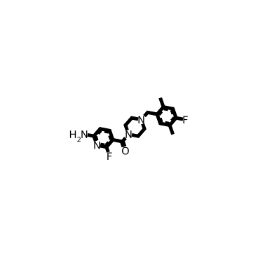 Cc1cc(CN2CCN(C(=O)c3ccc(N)nc3F)CC2)c(C)cc1F